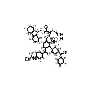 C#CCN(C(=O)OCC1c2ccccc2-c2ccccc21)[C@@H](Cc1ccc(C(=O)c2ccccc2)c(-c2ccc(C(=O)c3ccccc3)cc2)c1N)C(=O)O.CCC(N)=O